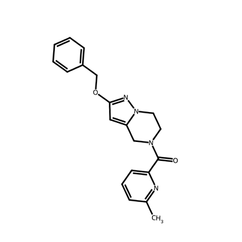 Cc1cccc(C(=O)N2CCn3nc(OCc4ccccc4)cc3C2)n1